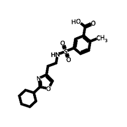 Cc1ccc(S(=O)(=O)NCCc2coc(C3CCCCC3)n2)cc1C(=O)O